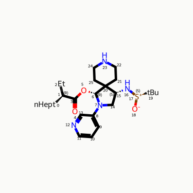 CCCCCCC[C@@H](CC)C(=O)O[C@H]1N(c2cccnc2)C[C@@H](N[S@+]([O-])C(C)(C)C)C12CCNCC2